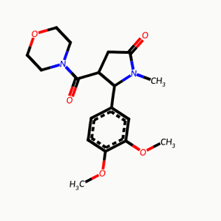 COc1ccc(C2C(C(=O)N3CCOCC3)CC(=O)N2C)cc1OC